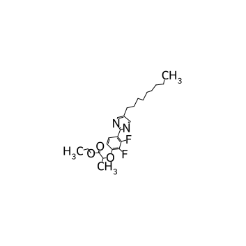 CCCCCCCCCc1cnc(-c2ccc(OC(C)C(=O)OCC)c(F)c2F)nc1